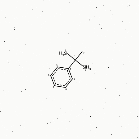 CC([SiH3])([SiH3])c1ccccc1